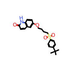 CC(C)(C)c1ccc(S(=O)(=O)CCCCOc2ccc3[nH]c(=O)ccc3c2)cc1